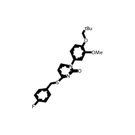 COc1cc(-n2ccc(SCc3ccc(F)cc3)nc2=O)ccc1OCC(C)(C)C